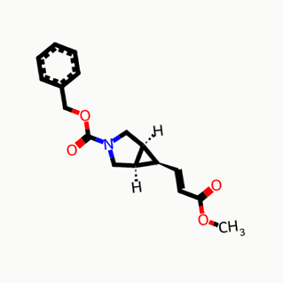 COC(=O)/C=C/[C@H]1[C@H]2CN(C(=O)OCc3ccccc3)C[C@@H]12